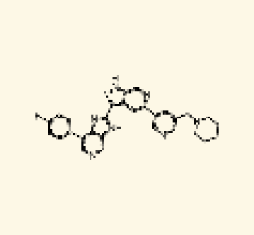 Fc1ccc(-c2cncc3[nH]c(-c4n[nH]c5cnc(-c6cncc(CN7CCCCC7)c6)cc45)nc23)cc1